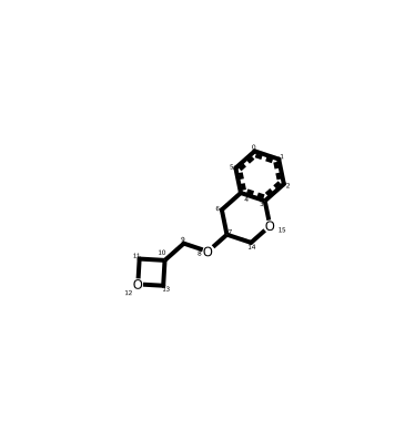 c1ccc2c(c1)CC(OCC1COC1)CO2